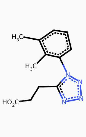 Cc1cccc(-n2nnnc2CCC(=O)O)c1C